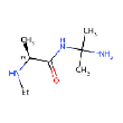 CCN[C@@H](C)C(=O)NC(C)(C)N